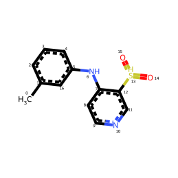 Cc1cccc(Nc2ccncc2[SH](=O)=O)c1